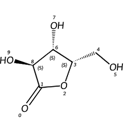 O=C1O[C@@H](CO)[C@@H](O)[C@@H]1O